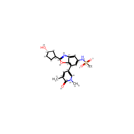 CCS(=O)(=O)Nc1cc(-c2cc(C)c(=O)n(C)c2)c2oc(C3CC[C@H](O)C3)nc2c1